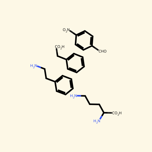 NCCCC(N)C(=O)O.NCCc1ccccc1.O=C(O)Cc1ccccc1.O=Cc1ccc([N+](=O)[O-])cc1